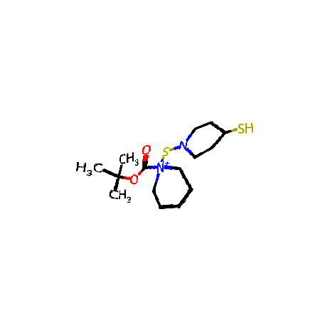 CC(C)(C)OC(=O)[N+]1(SN2CCC(S)CC2)CCCCC1